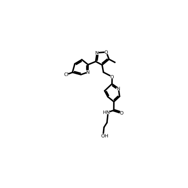 Cc1onc(-c2ccc(Cl)cn2)c1COc1ccc(C(=O)NCCO)cn1